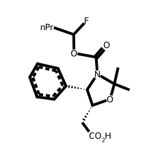 CCCC(F)OC(=O)N1[C@@H](c2ccccc2)[C@@H](CC(=O)O)OC1(C)C